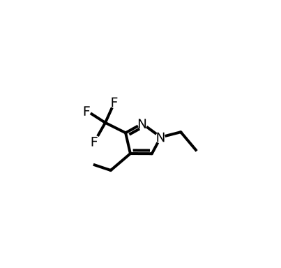 CCc1cn(CC)nc1C(F)(F)F